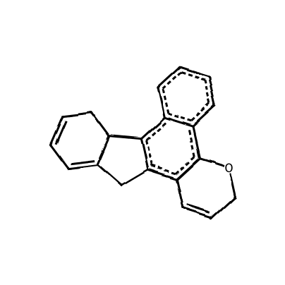 C1=CCC2C(=C1)Cc1c3c(c4ccccc4c12)OCC=C3